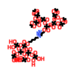 CC1(C)OCC(C)(C(=O)OCC(C)(COC(=O)C2(C)COC(C)(C)OC2)C(=O)OCC(C)(COC(=O)C(C)(COC(=O)C2(C)COC(C)(C)OC2)COC(=O)C2(C)COC(C)(C)OC2)C(=O)OCc2cn(CCCCCCOC(=O)C(C)(COC(=O)C(C)(COC(=O)C(C)(CO)CO)COC(=O)C(C)(CO)CO)COC(=O)C(C)(COC(=O)C(C)(CO)CO)COC(=O)C(C)(CO)CO)nn2)CO1